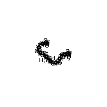 CCCC(C)(Oc1ccc(C(=O)c2ccc(Oc3ccc(C(C)(C)c4ccc(C(CC)Oc5ccc(C(=O)c6ccc(Oc7ccc(N8C(=O)C=CC8=O)cc7)cc6)cc5)cc4)cc3)cc2)cc1)c1ccc(N2C(=O)C=CC2=O)cc1